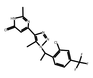 Cc1nc(-c2nnn(C(C)c3ccc(C(F)(F)F)cc3Cl)c2C)cc(=O)[nH]1